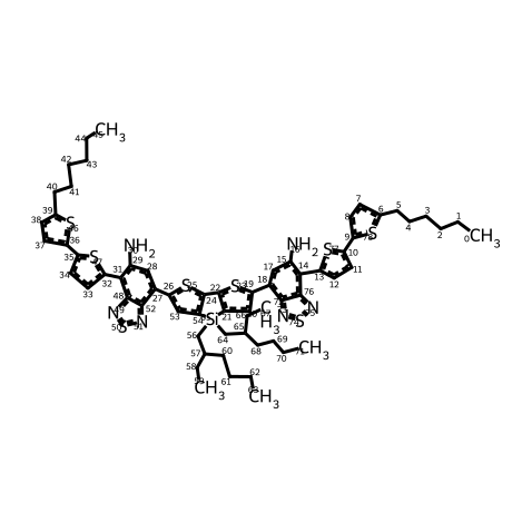 CCCCCCc1ccc(-c2ccc(-c3c(N)cc(-c4cc5c(s4)-c4sc(-c6cc(N)c(-c7ccc(-c8ccc(CCCCCC)s8)s7)c7nsnc67)cc4[Si]5(CC(CC)CCCC)CC(CC)CCCC)c4nsnc34)s2)s1